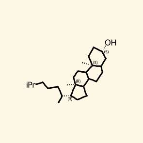 CC(C)CCCC(C)[C@H]1CCC2C3CCC4C[C@@H](O)CC[C@]4(C)C3CC[C@@]21C